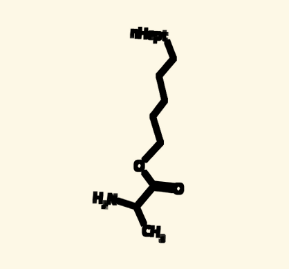 CCCCCCCCCCCCOC(=O)C(C)N